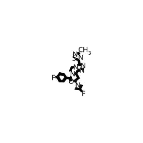 Cc1nsc(-c2nnc3n2CCN(C(=O)c2ccc(F)cc2)C3CCN2CC(F)C2)n1